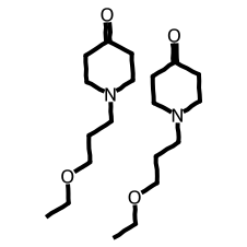 CCOCCCN1CCC(=O)CC1.CCOCCCN1CCC(=O)CC1